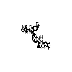 Cc1nonc1C(=O)NC(c1cn2ccc(C(NC(=O)CC(C)C(F)F)C3CC3)nc2n1)C1CCC(F)(F)CC1